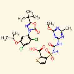 CC(C)Oc1cc(-n2nc(C(C)(C)C)oc2=O)c(Cl)cc1Cl.COc1nc(C)nc(NC(=O)NS(=O)(=O)c2ccsc2C(=O)O)n1